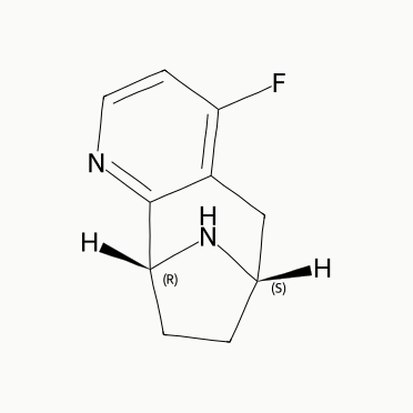 Fc1ccnc2c1C[C@@H]1CC[C@H]2N1